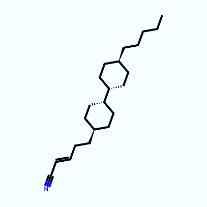 CCCCC[C@H]1CC[C@H]([C@H]2CC[C@H](CCC=CC#N)CC2)CC1